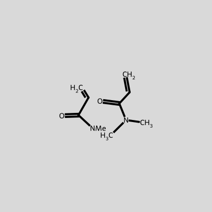 C=CC(=O)N(C)C.C=CC(=O)NC